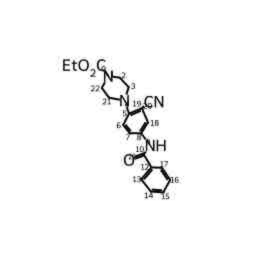 CCOC(=O)N1CCN(c2ccc(NC(=O)c3ccccc3)cc2C#N)CC1